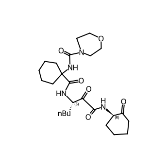 CCCC[C@H](NC(=O)C1(NC(=O)N2CCOCC2)CCCCC1)C(=O)C(=O)N[C@@H]1CCCCC1=O